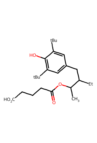 CCC(Cc1cc(C(C)(C)C)c(O)c(C(C)(C)C)c1)C(C)OC(=O)CCCC(=O)O